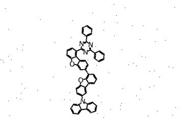 c1ccc(-c2nc(-c3ccccc3)nc(-c3cccc4oc5cc(-c6cccc7c6oc6ccc(-n8c9ccccc9c9ccccc98)cc67)ccc5c34)n2)cc1